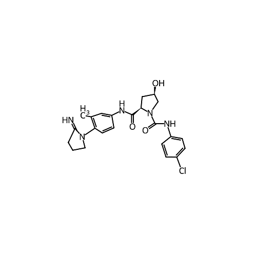 Cc1cc(NC(=O)[C@H]2C[C@@H](O)CN2C(=O)Nc2ccc(Cl)cc2)ccc1N1CCCC1=N